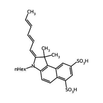 C/C=C/C=C/C=C1/N(CCCCCC)c2ccc3c(S(=O)(=O)O)cc(S(=O)(=O)O)cc3c2C1(C)C